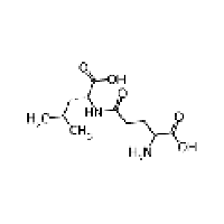 CC(C)C[C@@H](NC(=O)CCC(N)C(=O)O)C(=O)O